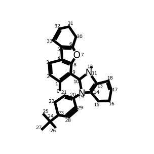 Cc1ccc2c3c(oc2c1C1N(C)C2=C(CCC=C2)N1C1=CCC(C(C)(C)C)C#C1)CCC=C3